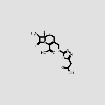 NC1C(=O)N2C(C(=O)O)=C(CSc3nnc(CC(=O)O)o3)CS[C@@H]12